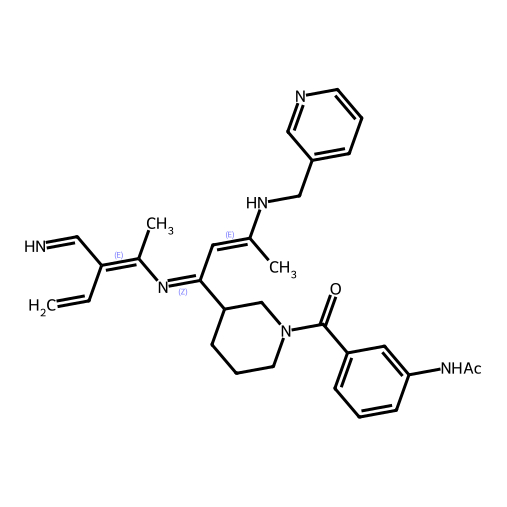 C=C\C(C=N)=C(C)/N=C(\C=C(/C)NCc1cccnc1)C1CCCN(C(=O)c2cccc(NC(C)=O)c2)C1